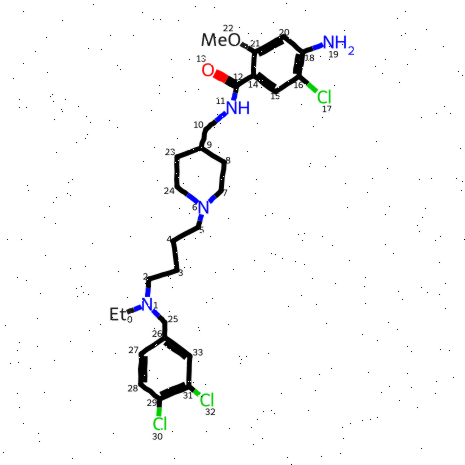 CCN(CCCCN1CCC(CNC(=O)c2cc(Cl)c(N)cc2OC)CC1)Cc1ccc(Cl)c(Cl)c1